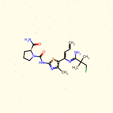 C=C/C=C(\N=C(/N)C(C)(C)CF)c1sc(NC(=O)N2CCC[C@H]2C(N)=O)nc1C